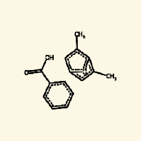 Cc1cc2cc(C)c1o2.O=C(O)c1ccccc1